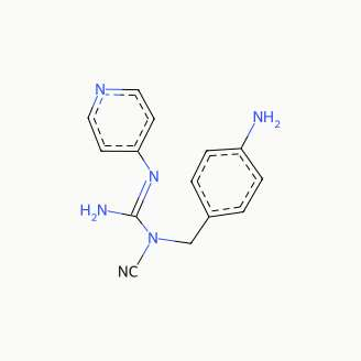 N#CN(Cc1ccc(N)cc1)C(N)=Nc1ccncc1